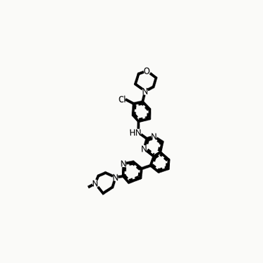 CN1CCN(c2ccc(-c3cccc4cnc(Nc5ccc(N6CCOCC6)c(Cl)c5)nc34)cn2)CC1